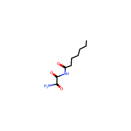 CCCCCCC(=O)NC(=O)C(N)=O